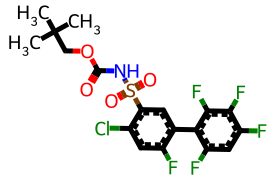 CC(C)(C)COC(=O)NS(=O)(=O)c1cc(-c2c(F)cc(F)c(F)c2F)c(F)cc1Cl